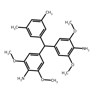 COc1cc(C(c2cc(C)cc(C)c2)c2cc(OC)c(N)c(OC)c2)cc(OC)c1N